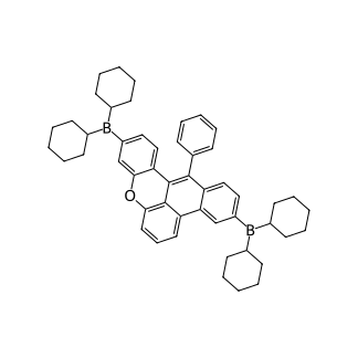 c1ccc(-c2c3c4c(cccc4c4cc(B(C5CCCCC5)C5CCCCC5)ccc24)Oc2cc(B(C4CCCCC4)C4CCCCC4)ccc2-3)cc1